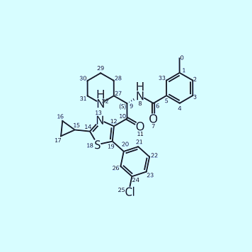 Cc1cccc(C(=O)N[C@H](C(=O)c2nc(C3CC3)sc2-c2cccc(Cl)c2)C2CCCCN2)c1